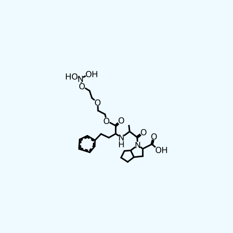 CC(NC(CCc1ccccc1)C(=O)OCCOCCON(O)O)C(=O)N1C(C(=O)O)CC2CCCC21